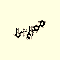 O=C(N[C@@H](CNCC1CCCN1)C(=O)NO)c1ccc(-c2ccccc2)cc1